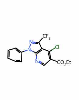 CCOC(=O)c1cnc2c(c(C(F)(F)F)nn2-c2ccccc2)c1Cl